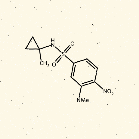 CNc1cc(S(=O)(=O)NC2(C)CC2)ccc1[N+](=O)[O-]